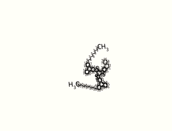 CCCCCCCCCCc1ccc2c3ccccc3c3cc4c(cc3c2c1)sc1c2c3cc5c(cc3sc2c2c3cc6c7ccccc7c7ccc(CCCCCCCCCC)cc7c6cc3sc2c41)CCC1CCCCC51